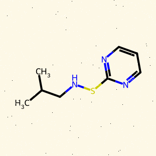 CC(C)CNSc1ncccn1